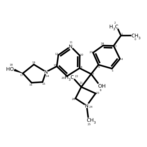 CC(C)c1ccc(C(O)(c2cncc(N3CC[C@@H](O)C3)c2)C2(C)CN(C)C2)cc1